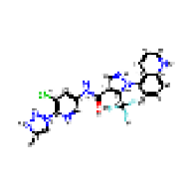 Cc1cn(-c2ncc(NC(=O)c3cnn(-c4cccc5ncccc45)c3C(F)(F)F)cc2Cl)nn1